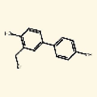 Oc1ccc(-c2ccc(O)c(CBr)c2)cc1